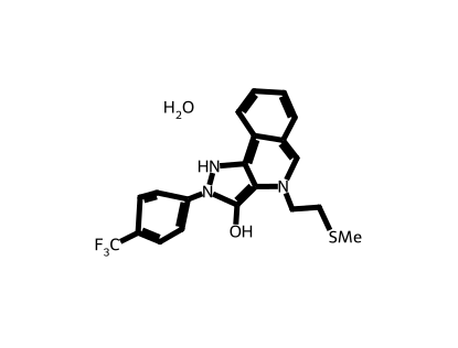 CSCCN1C=c2ccccc2=C2NN(c3ccc(C(F)(F)F)cc3)C(O)=C21.O